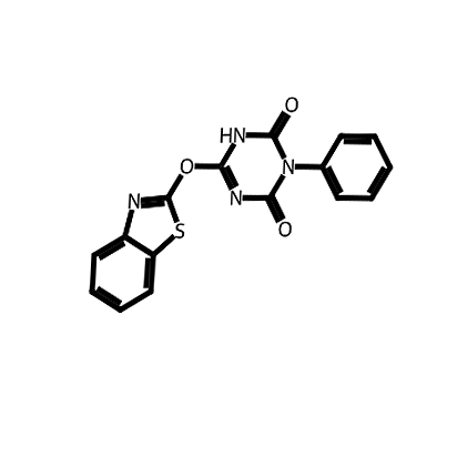 O=c1nc(Oc2nc3ccccc3s2)[nH]c(=O)n1-c1ccccc1